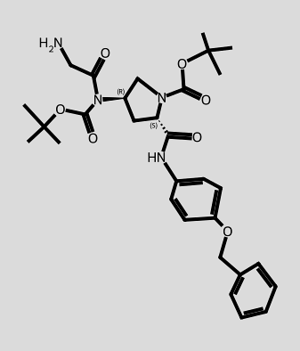 CC(C)(C)OC(=O)N1C[C@H](N(C(=O)CN)C(=O)OC(C)(C)C)C[C@H]1C(=O)Nc1ccc(OCc2ccccc2)cc1